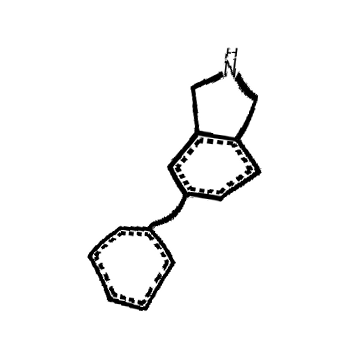 c1ccc(-c2ccc3c(c2)CNC3)cc1